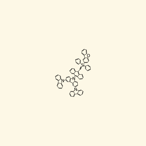 C(#C[Si](c1ccccc1)(c1ccccc1)c1ccc2oc3ccccc3c2c1)c1c2ccccc2c(-n2c3ccc(-n4c5ccccc5c5ccccc54)cc3c3cc(-n4c5ccccc5c5ccccc54)ccc32)c2ccccc12